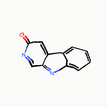 O=C1C=C2C(=Nc3ccccc32)C=N1